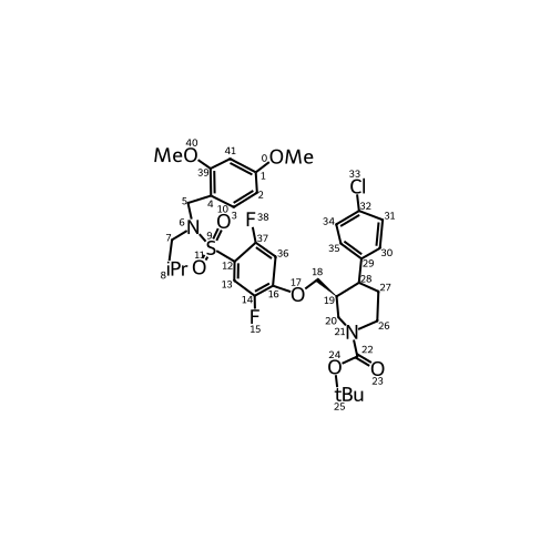 COc1ccc(CN(CC(C)C)S(=O)(=O)c2cc(F)c(OC[C@@H]3CN(C(=O)OC(C)(C)C)CCC3c3ccc(Cl)cc3)cc2F)c(OC)c1